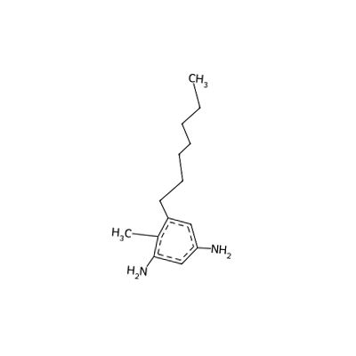 CCCCCCCc1cc(N)cc(N)c1C